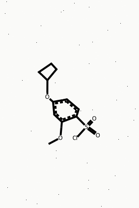 COc1cc(OC2CCC2)ccc1S(=O)(=O)Cl